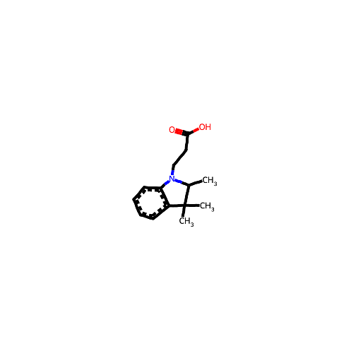 CC1N(CCC(=O)O)c2ccccc2C1(C)C